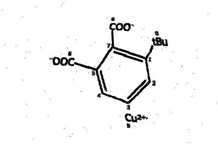 CC(C)(C)c1cccc(C(=O)[O-])c1C(=O)[O-].[Cu+2]